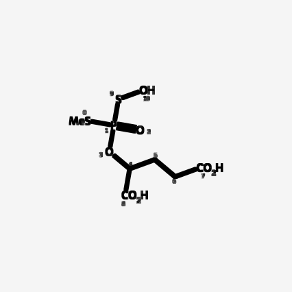 CSP(=O)(OC(CCC(=O)O)C(=O)O)SO